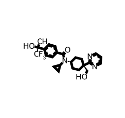 C[C@](O)(c1ccc(C(=O)N(C2CC2)[C@H]2CC[C@@](CO)(c3ncccn3)CC2)cc1)C(F)(F)F